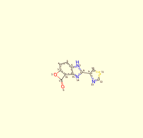 O=C1Oc2ccc3[nH]c(-c4cscn4)nc3c21